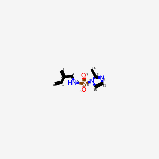 C=CC(=C)CNS(=O)(=O)n1ccnc1C